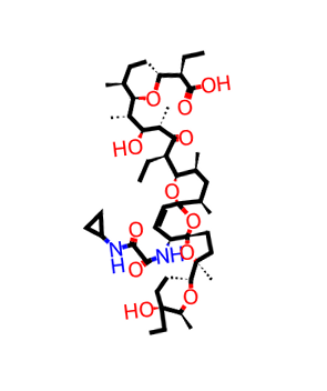 CC[C@@H](C(=O)[C@@H](C)[C@@H](O)[C@H](C)[C@@H]1O[C@@H]([C@@H](CC)C(=O)O)CC[C@@H]1C)[C@H]1O[C@]2(C=C[C@@H](NC(=O)C(=O)NC3CC3)[C@]3(CC[C@@](C)([C@H]4CC[C@](O)(CC)[C@H](C)O4)O3)O2)[C@H](C)C[C@@H]1C